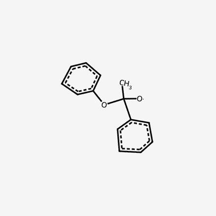 CC([O])(Oc1ccccc1)c1ccccc1